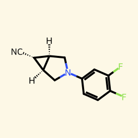 N#C[C@@H]1[C@H]2CN(c3ccc(F)c(F)c3)C[C@@H]12